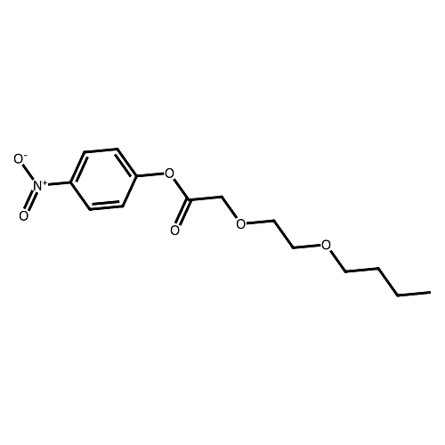 CCCCOCCOCC(=O)Oc1ccc([N+](=O)[O-])cc1